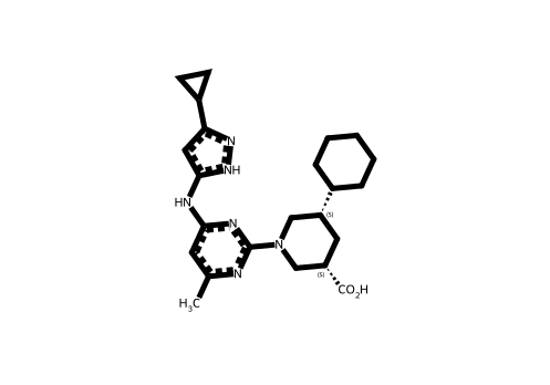 Cc1cc(Nc2cc(C3CC3)n[nH]2)nc(N2C[C@@H](C(=O)O)C[C@@H](C3CCCCC3)C2)n1